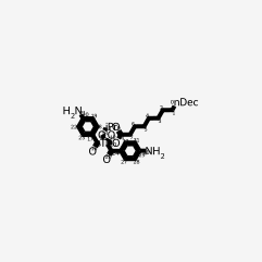 CCCCCCCCCCCCCCCCCC(=O)[O][Ti](=[O])([O]C(C)C)([C](=O)c1ccc(N)cc1)[C](=O)c1ccc(N)cc1